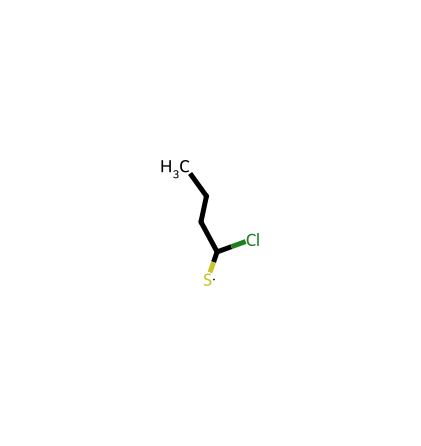 CCCC([S])Cl